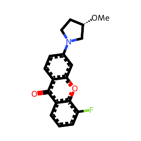 CO[C@H]1CCN(c2ccc3c(=O)c4cccc(F)c4oc3c2)C1